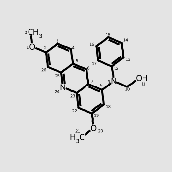 COc1ccc2cc3c(N(CO)c4ccccc4)cc(OC)cc3nc2c1